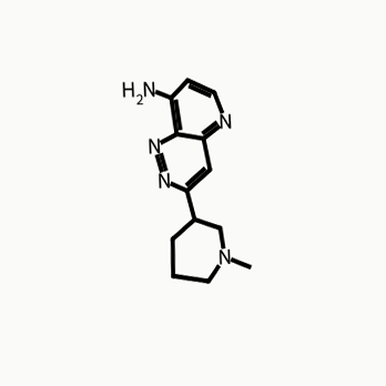 CN1CCCC(c2cc3nccc(N)c3nn2)C1